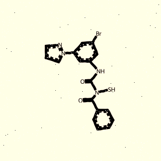 O=C(Nc1cc(Br)cc(-n2cccn2)c1)N(S)C(=O)c1ccccc1